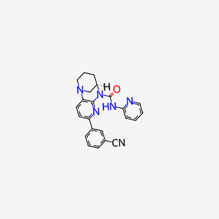 N#Cc1cccc(-c2ccc3c(n2)N(C(=O)Nc2ccccn2)[C@@H]2CCCN3C2)c1